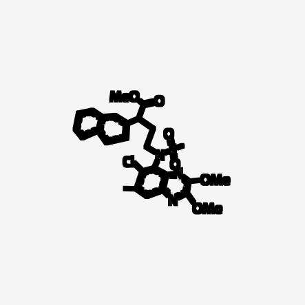 COC(=O)C(CCN(c1c(Cl)c(C)cc2nc(OC)c(OC)nc12)S(C)(=O)=O)c1ccc2ccccc2c1